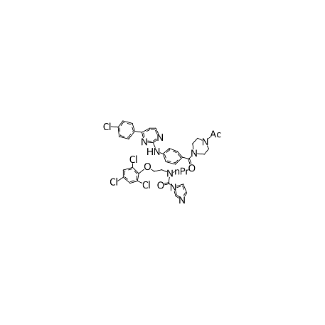 CC(=O)N1CCN(C(=O)c2ccc(Nc3nccc(-c4ccc(Cl)cc4)n3)cc2)CC1.CCCN(CCOc1c(Cl)cc(Cl)cc1Cl)C(=O)n1ccnc1